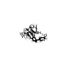 CN1C(=O)[C@]2(C[C@](C)(CO)Cc3ccc(-c4cncc(Cl)c4)cc32)N=C1N